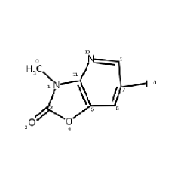 Cn1c(=O)oc2cc(I)cnc21